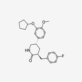 COc1ccc([C@H]2CNC(=O)[C@H](Cc3ccc(F)cc3)C2)cc1OC1CCCC1